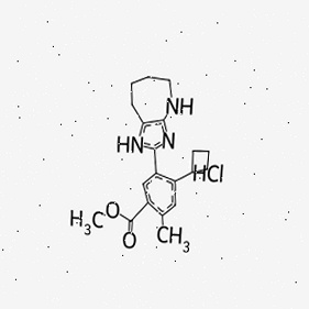 COC(=O)c1cc(-c2nc3c([nH]2)CCCCN3)c(C2CCC2)cc1C.Cl